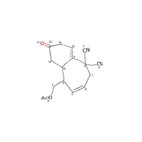 CC(=O)OCC1C=CCC(C#N)(C#N)C2=CCC(=O)CC21